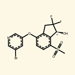 CS(=O)(=O)c1ccc(Oc2cncc(Br)c2)c2c1[C@H](O)C(F)(F)C2